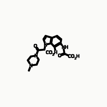 CN1CCN(C(=O)Cn2ccc3ccc(NC(=O)C(=O)O)c(C(=O)O)c32)CC1